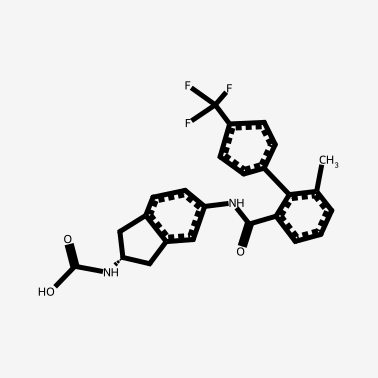 Cc1cccc(C(=O)Nc2ccc3c(c2)C[C@H](NC(=O)O)C3)c1-c1ccc(C(F)(F)F)cc1